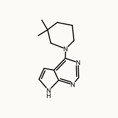 CC1(C)CCCN(c2ncnc3[nH]ccc23)C1